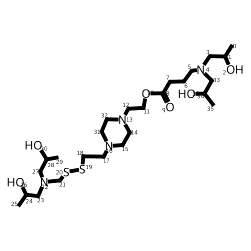 CC(O)CN(CCCC(=O)OCCN1CCN(CCSSCN(CC(C)O)CC(C)O)CC1)CC(C)O